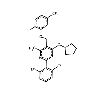 CCc1cccc(CC)c1-c1cc(OC2CCCC2)c(COc2cc(C(F)(F)F)ccc2F)c(C)n1